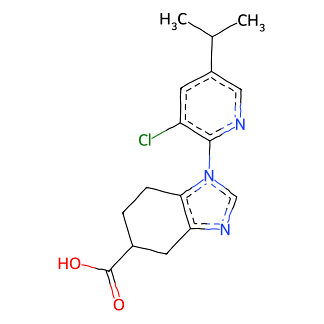 CC(C)c1cnc(-n2cnc3c2CCC(C(=O)O)C3)c(Cl)c1